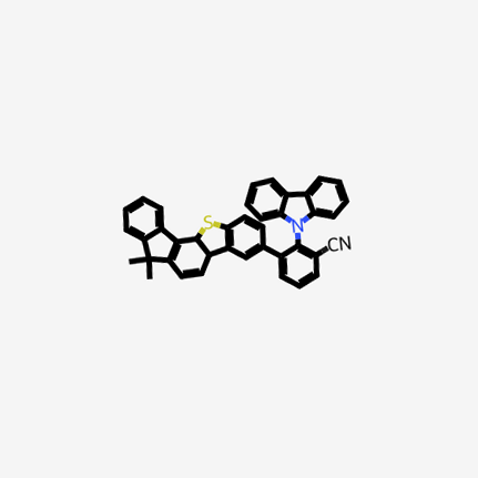 CC1(C)C2=C(c3ccccc31)C1Sc3ccc(-c4cccc(C#N)c4-n4c5ccccc5c5ccccc54)cc3C1C=C2